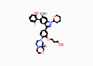 O=Cc1cc2c(cc1-c1c(O)cccc1F)c(-c1ccc(N3CCN4CCOC[C@H]4C3)c(OCCCO)c1)nn2C1CCCCO1